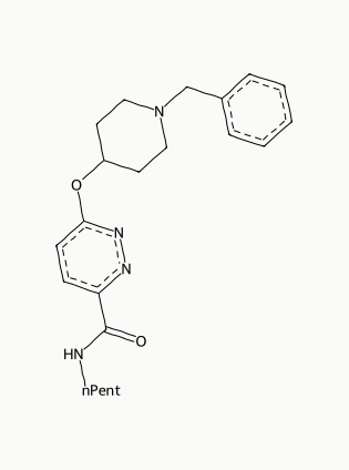 CCCCCNC(=O)c1ccc(OC2CCN(Cc3ccccc3)CC2)nn1